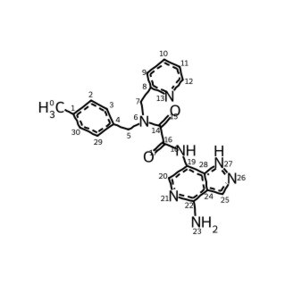 Cc1ccc(CN(Cc2ccccn2)C(=O)C(=O)Nc2cnc(N)c3cn[nH]c23)cc1